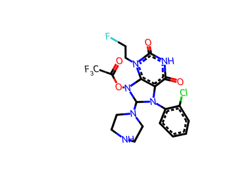 O=C(ON1c2c(c(=O)[nH]c(=O)n2CCF)N(c2ccccc2Cl)C1N1CCNCC1)C(F)(F)F